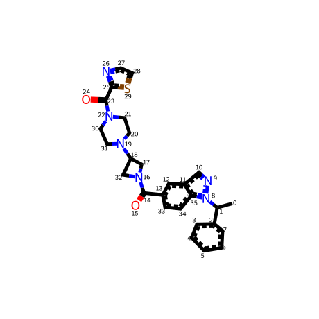 CC(c1ccccc1)n1ncc2cc(C(=O)N3CC(N4CCN(C(=O)c5nccs5)CC4)C3)ccc21